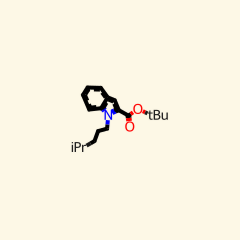 CC(C)CCCn1c(C(=O)OC(C)(C)C)cc2ccccc21